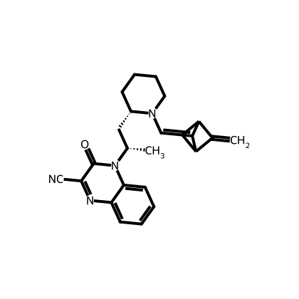 C=C1C2CC1C2=CN1CCCC[C@H]1C[C@H](C)n1c(=O)c(C#N)nc2ccccc21